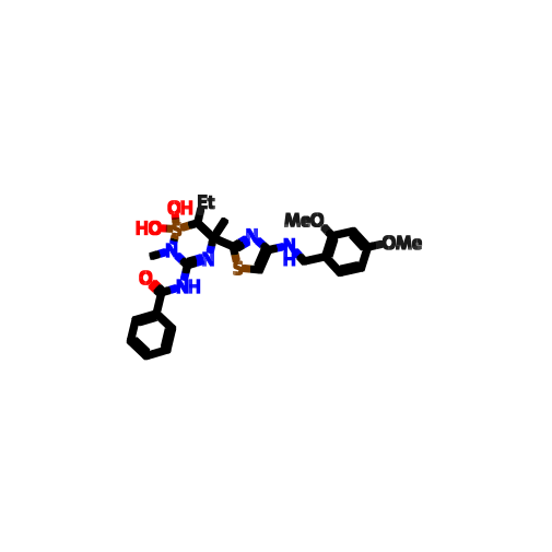 CCC1C(C)(c2nc(NCc3ccc(OC)cc3OC)cs2)N=C(NC(=O)c2ccccc2)N(C)S1(O)O